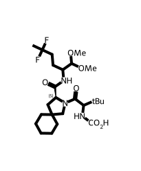 COC(OC)C(CCC(C)(F)F)NC(=O)[C@@H]1CC2(CCCCC2)CN1C(=O)C(NC(=O)O)C(C)(C)C